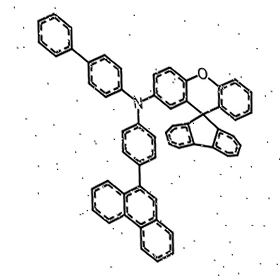 c1ccc(-c2ccc(N(c3ccc(-c4cc5ccccc5c5ccccc45)cc3)c3ccc4c(c3)C3(c5ccccc5O4)c4ccccc4-c4ccccc43)cc2)cc1